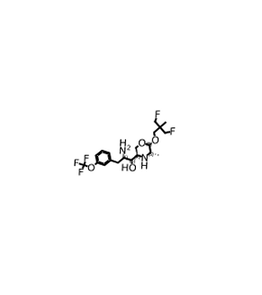 C[C@@H]1N[C@@H]([C@@H](O)[C@@H](N)Cc2cccc(OC(F)(F)F)c2)CO[C@H]1OCC(C)(CF)CF